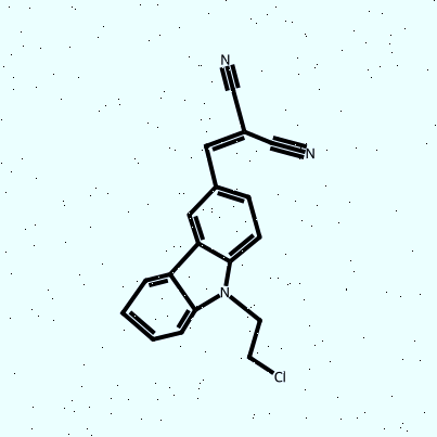 N#CC(C#N)=Cc1ccc2c(c1)c1ccccc1n2CCCl